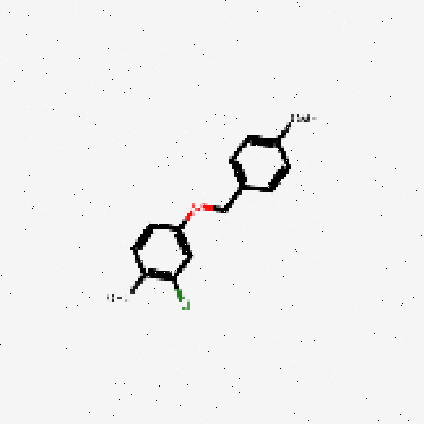 COc1ccc(COc2ccc(C=O)c(Cl)c2)cc1